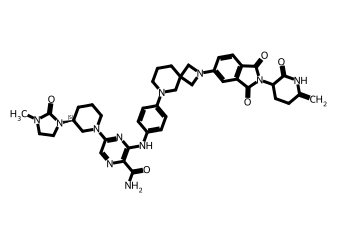 C=C1CCC(N2C(=O)c3ccc(N4CC5(CCCN(c6ccc(Nc7nc(N8CCC[C@H](N9CCN(C)C9=O)C8)cnc7C(N)=O)cc6)C5)C4)cc3C2=O)C(=O)N1